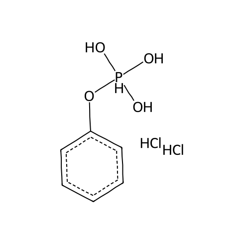 Cl.Cl.O[PH](O)(O)Oc1ccccc1